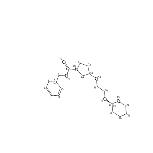 O=C(OCc1ccccc1)N1CCC(OCCO[C@@H]2CCCCO2)C1